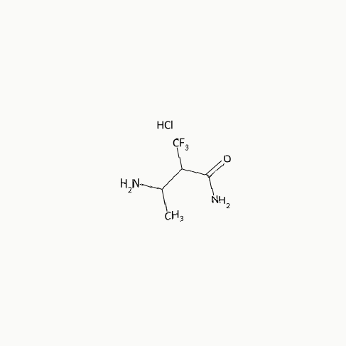 CC(N)C(C(N)=O)C(F)(F)F.Cl